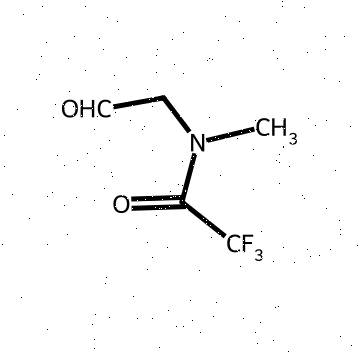 CN(CC=O)C(=O)C(F)(F)F